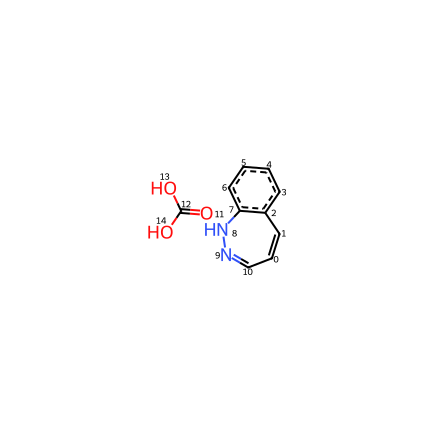 C1=Cc2ccccc2NN=C1.O=C(O)O